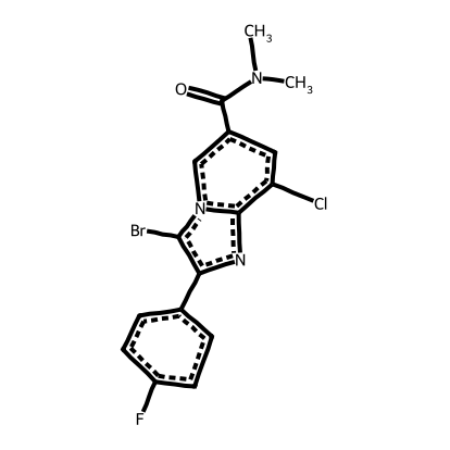 CN(C)C(=O)c1cc(Cl)c2nc(-c3ccc(F)cc3)c(Br)n2c1